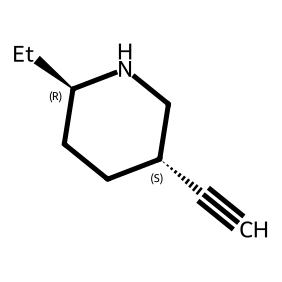 C#C[C@@H]1CC[C@@H](CC)NC1